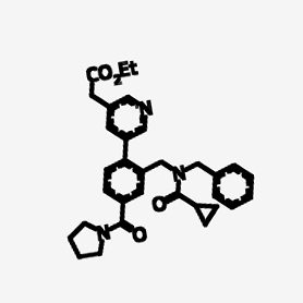 CCOC(=O)Cc1cncc(-c2ccc(C(=O)N3CCCC3)cc2CN(Cc2ccccc2)C(=O)C2CC2)c1